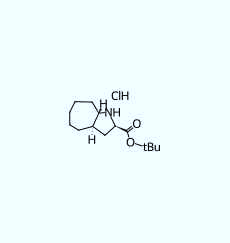 CC(C)(C)OC(=O)[C@H]1C[C@H]2CCCCC[C@@H]2N1.Cl